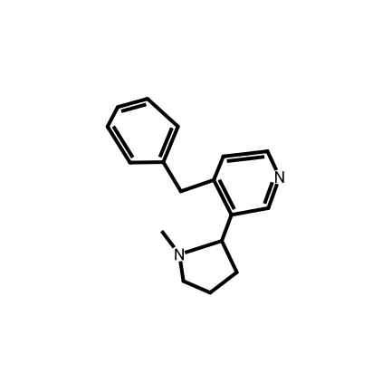 CN1CCCC1c1cnccc1Cc1ccccc1